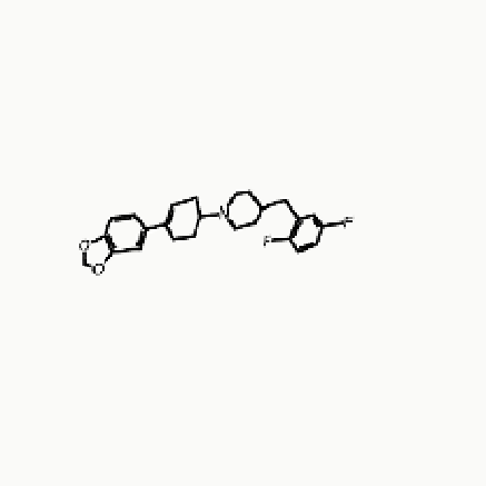 Fc1ccc(F)c(CC2CCN(C3CC=C(c4ccc5c(c4)OCO5)CC3)CC2)c1